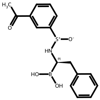 CC(=O)c1cccc([S+]([O-])N[C@@H](Cc2ccccc2)B(O)O)c1